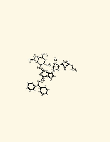 CCc1nnc([C@H]2O[C@@H](n3cnc4c(NCC(c5ccccc5)c5ccccc5)nc(NC5CCC(N)CC5)nc43)[C@H](O)[C@@H]2O)[nH]1.O=CO